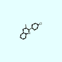 Cc1cc2ccccc2nc1-c1ccc(Cl)cc1